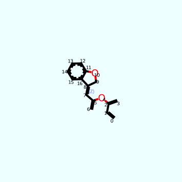 C=CC(=C)OC(=C)/C=C1\COc2ccccc21